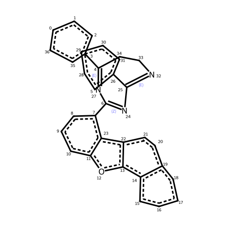 c1ccc(/C2=N/C(c3cccc4oc5c6ccccc6ccc5c34)=N\C(c3ccccc3)=N\CC2)cc1